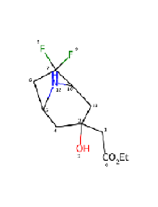 CCOC(=O)CC1(O)CC2CC(F)(F)C(C1)N2